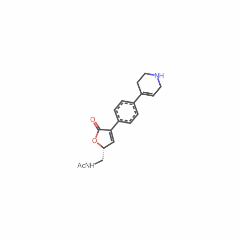 CC(=O)NC[C@H]1C=C(c2ccc(C3=CCNCC3)cc2)C(=O)O1